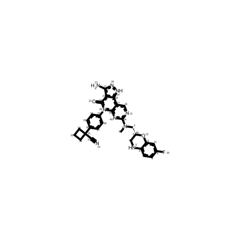 CN(C[C@H]1CNc2ccc(F)cc2O1)c1ncc2c3[nH]nc(N)c3c(=O)n(-c3ccc(C4(C#N)CCC4)cc3)c2n1